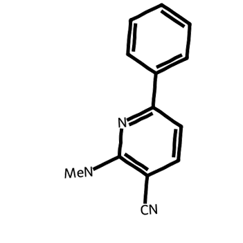 CNc1nc(-c2ccccc2)ccc1C#N